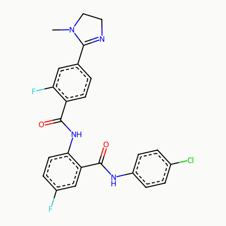 CN1CCN=C1c1ccc(C(=O)Nc2ccc(F)cc2C(=O)Nc2ccc(Cl)cc2)c(F)c1